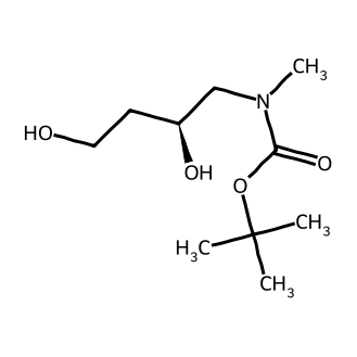 CN(C[C@@H](O)CCO)C(=O)OC(C)(C)C